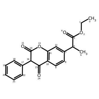 CCOC(=O)C(C)c1ccc2c(c1)OC(=O)C(c1ccccc1)C2=O